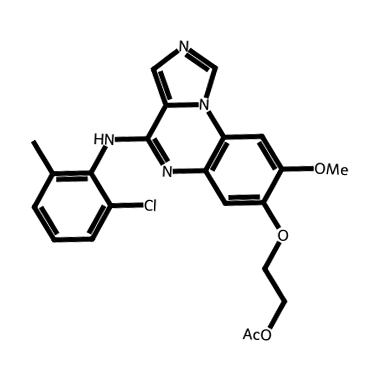 COc1cc2c(cc1OCCOC(C)=O)nc(Nc1c(C)cccc1Cl)c1cncn12